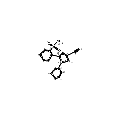 N#Cc1cc(-c2ccccc2S(N)(=O)=O)n(-c2ccccc2)n1